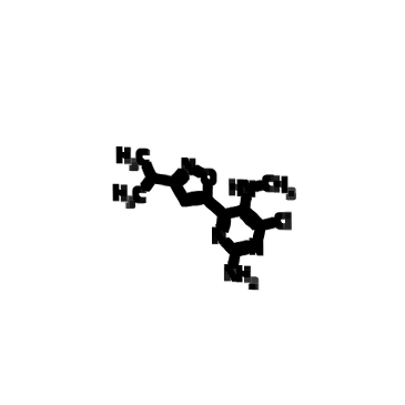 CNc1c(Cl)nc(N)nc1-c1cc(C(C)C)no1